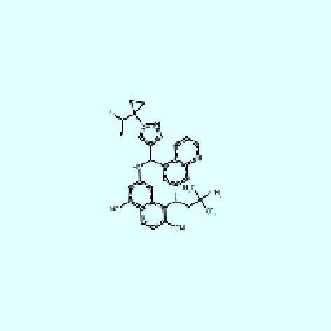 CC(C)(CNc1c(C#N)cnc2c(C#N)cc(NC(c3cn(C4(C(F)F)CC4)nn3)c3cccc4ncccc34)cc12)C(F)(F)F